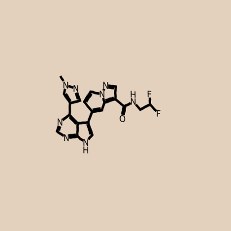 Cn1cc(-c2ncnc3[nH]cc(-c4ccn5ncc(C(=O)NCC(F)F)c5c4)c23)cn1